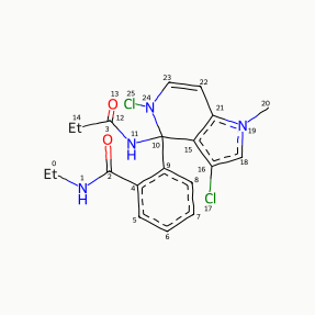 CCNC(=O)c1ccccc1C1(NC(=O)CC)c2c(Cl)cn(C)c2C=CN1Cl